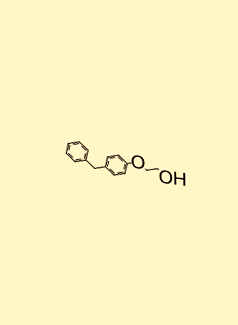 OCCOc1ccc(Cc2ccccc2)cc1